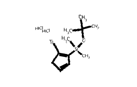 CC(C)(C)O[Si](C)(C)C1=[C]([Ti])CC=C1.Cl.Cl